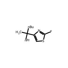 CCCCC(C)(CCC)c1csc(F)n1